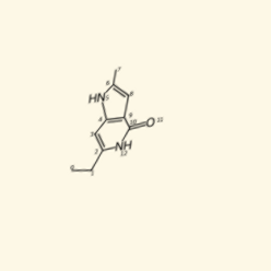 CCc1cc2[nH]c(C)cc2c(=O)[nH]1